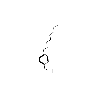 CCCCCCCCc1ccc([C@@H](C)O)cc1